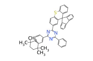 CC1(C)CCC(C)(C)c2cc(-c3nc(-c4ccccc4)nc(-c4ccc5c(c4)C4(c6ccccc6S5)c5ccccc5-c5ccccc54)n3)ccc21